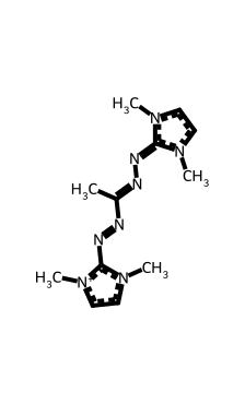 CC(/N=N/c1n(C)cc[n+]1C)=N\N=c1n(C)ccn1C